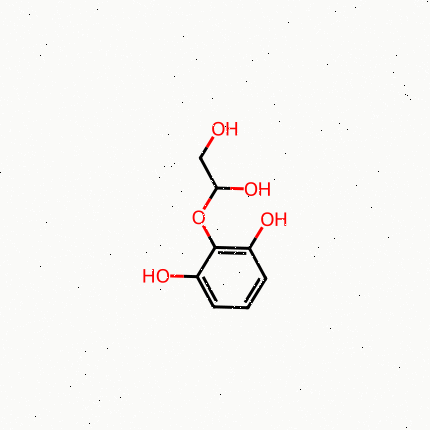 OCC(O)Oc1c(O)cccc1O